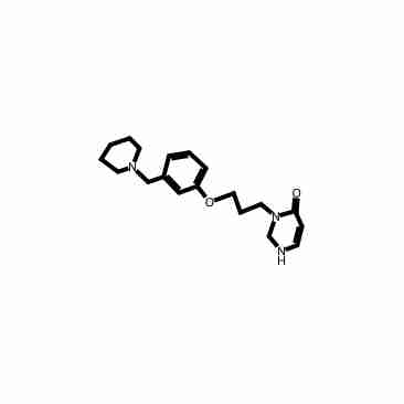 O=C1C=CNCN1CCCOc1cccc(CN2CCCCC2)c1